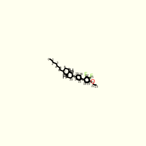 CCCCCCCC1CC[C@@H]2C[C@H](c3ccc(-c4ccc(OCC)c(F)c4F)cc3)CC[C@@H]2C1